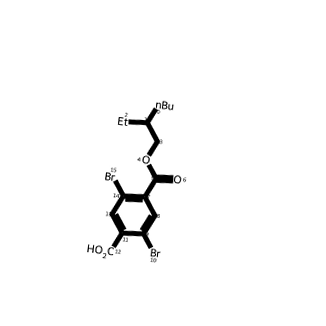 CCCCC(CC)COC(=O)c1cc(Br)c(C(=O)O)cc1Br